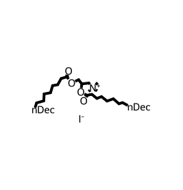 CCCCCCCCCCCCCCCCCC(=O)OCC(C[N+](C)(C)C)OC(=O)CCCCCCCCCCCCCCCCC.[I-]